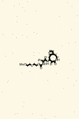 COCCOCCOC(=O)NC(C(=O)NC1Cc2sncc2CCNC(=O)C1=O)C(C)C